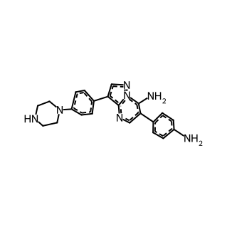 Nc1ccc(-c2cnc3c(-c4ccc(N5CCNCC5)cc4)cnn3c2N)cc1